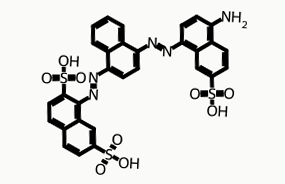 Nc1ccc(N=Nc2ccc(N=Nc3c(S(=O)(=O)O)ccc4ccc(S(=O)(=O)O)cc34)c3ccccc23)c2cc(S(=O)(=O)O)ccc12